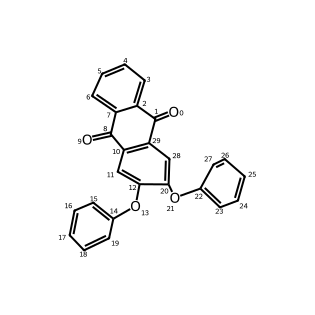 O=C1c2ccccc2C(=O)c2cc(Oc3ccccc3)c(Oc3ccccc3)cc21